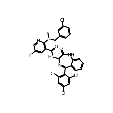 CN(Cc1cccc(Cl)c1)c1ncc(F)cc1C(=O)NC1N=C(c2c(Cl)cc(Cl)cc2Cl)c2ccccc2NC1=O